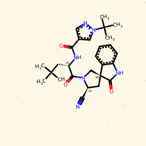 CC(C)(C)C[C@H](NC(=O)c1cnn(C(C)(C)C)c1)C(=O)N1C[C@]2(C[C@H]1C#N)C(=O)Nc1ccccc12